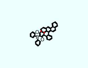 c1ccc2c(c1)Oc1ccc(-c3ccccc3-c3c4ccccc4cc4c3ccc3ccccc34)c3c1B2c1ccccc1O3